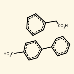 O=C(O)Cc1ccccc1.O=C(O)c1ccc(-c2ccccc2)cc1